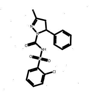 CC1=NN(C(=O)NS(=O)(=O)c2ccccc2Cl)C(c2ccccc2)C1